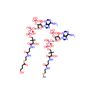 CC(=O)SCCNC(=O)CCNC(=O)[C@H](O)C(C)(C)COP(=O)(O)OP(=O)(O)OC[C@H]1O[C@@H](n2cnc3c(N)ncnc32)[C@H](O)[C@@H]1OP(=O)(O)O.CC(C)(COP(=O)(O)OP(=O)(O)OC[C@H]1O[C@@H](n2cnc3c(N)ncnc32)[C@H](O)[C@@H]1OP(=O)(O)O)[C@@H](O)C(=O)NCCC(=O)NCCSC(=O)CCCO